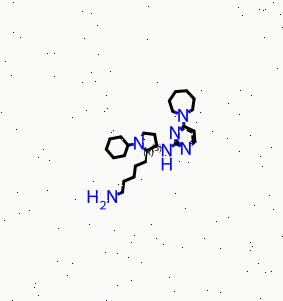 NCCCCC[C@@H]1[C@@H](Nc2nccc(N3CCCCCC3)n2)CCN1C1CCCCC1